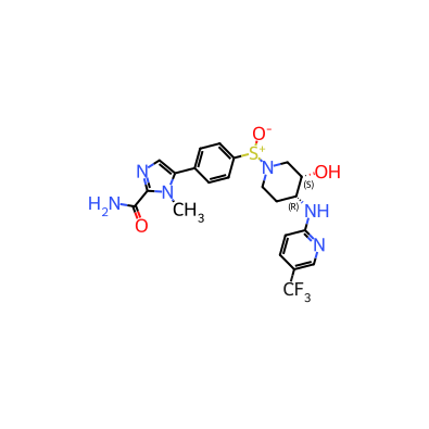 Cn1c(-c2ccc([S+]([O-])N3CC[C@@H](Nc4ccc(C(F)(F)F)cn4)[C@@H](O)C3)cc2)cnc1C(N)=O